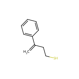 C=C(CCS)c1ccccc1